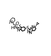 CN1CCCCC1CC(=O)Nc1nc2ccc(Sc3nnc4ccc(C5CC5)nn34)cc2s1